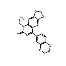 CCn1c(=O)nc(-c2ccc3c(c2)OCCO3)c2cc3c(cc21)OCO3